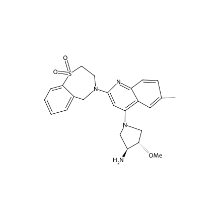 CO[C@H]1CN(c2cc(N3CCS(=O)(=O)c4ccccc4C3)nc3ccc(C)cc23)C[C@@H]1N